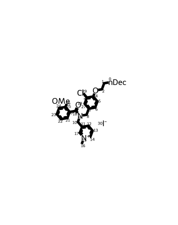 CCCCCCCCCCCCOc1ccc(CN(Cc2ccc[n+](C)c2)C(=O)c2ccccc2OC)cc1Cl.[I-]